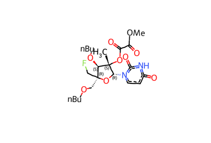 CCCCOC[C@@]1(CF)O[C@@H](n2ccc(=O)[nH]c2=O)[C@@](C)(OC(=O)C(=O)OC)[C@@H]1OCCCC